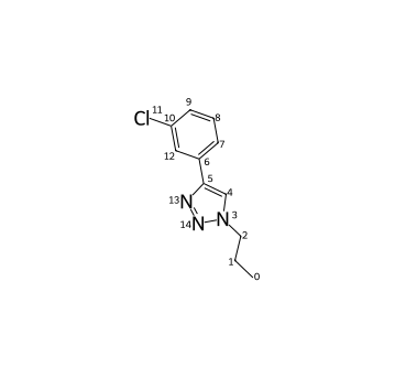 CCCn1cc(-c2cccc(Cl)c2)nn1